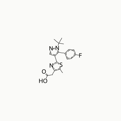 Cc1sc(-c2cnn(C(C)(C)C)c2-c2ccc(F)cc2)nc1CC(=O)O